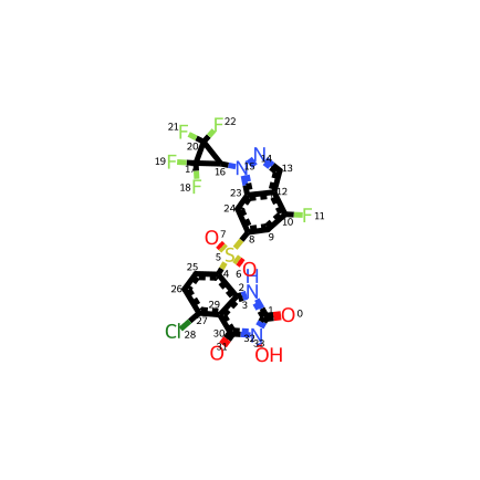 O=c1[nH]c2c(S(=O)(=O)c3cc(F)c4cnn(C5C(F)(F)C5(F)F)c4c3)ccc(Cl)c2c(=O)n1O